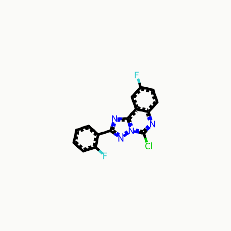 Fc1ccc2nc(Cl)n3nc(-c4ccccc4F)nc3c2c1